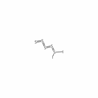 S=S=S=S=S(I)I